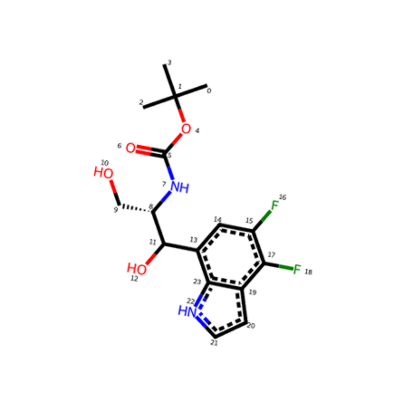 CC(C)(C)OC(=O)N[C@@H](CO)C(O)c1cc(F)c(F)c2cc[nH]c12